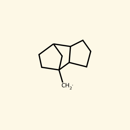 [CH2]C12CCC(C1)C1CCCC12